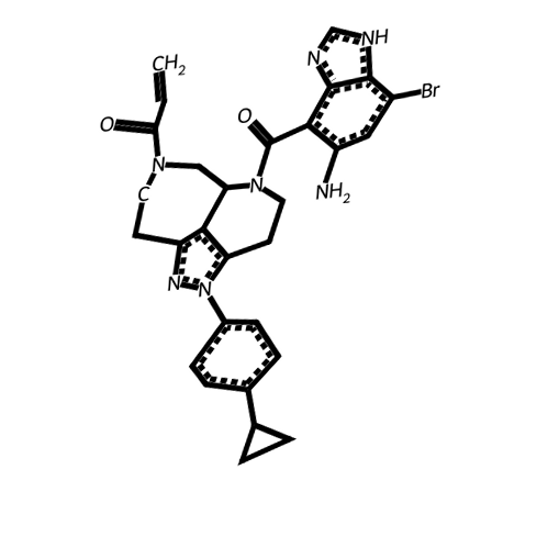 C=CC(=O)N1CCc2nn(-c3ccc(C4CC4)cc3)c3c2C(C1)N(C(=O)c1c(N)cc(Br)c2[nH]cnc12)CC3